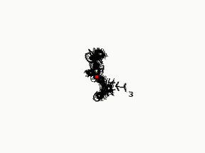 Cc1cnc(N2CC3(CCOCC3)C2)c(C(=O)Nc2ccc(C(=O)N3CCc4cc(C(=O)c5nc6c([nH]5)CCCC6)oc4-c4ccccc43)cc2)c1